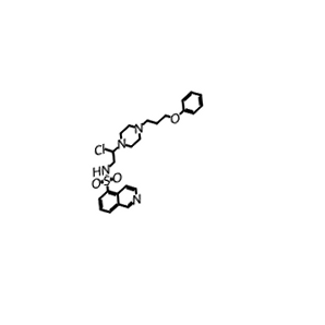 O=S(=O)(NCC(Cl)N1CCN(CCCOc2ccccc2)CC1)c1cccc2cnccc12